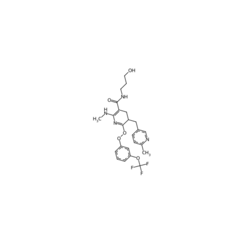 CNC1=C(C(=O)NCCCO)CC(Cc2ccc(C)nc2)C(OOc2cccc(OC(F)(F)F)c2)=N1